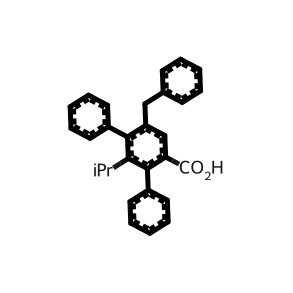 CC(C)c1c(-c2ccccc2)c(Cc2ccccc2)cc(C(=O)O)c1-c1ccccc1